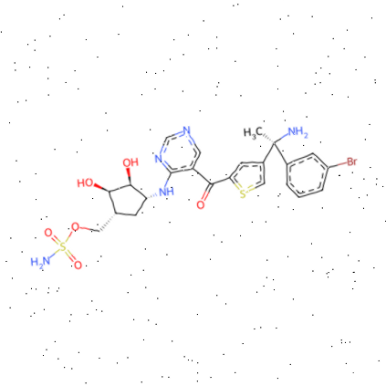 C[C@](N)(c1cccc(Br)c1)c1csc(C(=O)c2cncnc2N[C@@H]2C[C@H](COS(N)(=O)=O)[C@@H](O)[C@H]2O)c1